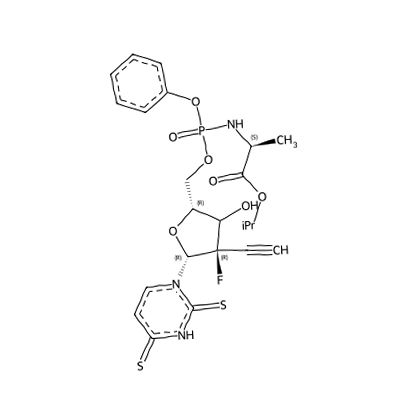 C#C[C@@]1(F)C(O)[C@@H](COP(=O)(N[C@@H](C)C(=O)OC(C)C)Oc2ccccc2)O[C@H]1n1ccc(=S)[nH]c1=S